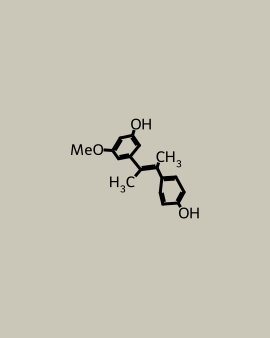 COc1cc(O)cc(/C(C)=C(\C)c2ccc(O)cc2)c1